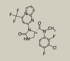 CN(C(=O)[C@@H]1CNC(=O)N1c1cc(C(F)(F)F)n2cccc2n1)c1ccc(F)c(Cl)c1F